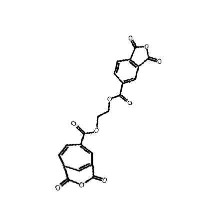 O=C(OCCOC(=O)c1ccc2c(c1)C(=O)OC2=O)C1=CC2=CC(C=C1)C(=O)OC2=O